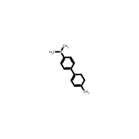 CC1=CC=C(c2ccc(N(C)C)cc2)CC1